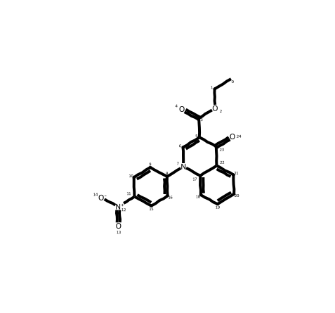 CCOC(=O)c1cn(-c2ccc([N+](=O)[O-])cc2)c2ccccc2c1=O